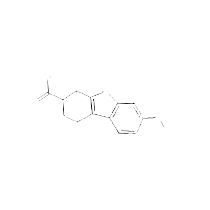 COc1ccc2c3c(sc2c1)CC(C(=O)O)CC3